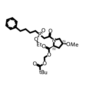 CCOP(=O)(CCCCc1ccccc1)CC(=O)N1C[C@@H](OC)C[C@H]1C(=O)OCOC(=O)C(C)(C)C